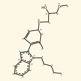 CCCCCn1c(C2=C(C)CC(OCC(O)COC)C=C2)cc2ccccc21